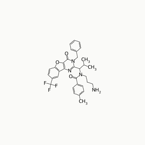 Cc1ccc(C(=O)N(CCCN)C(c2nc3c(oc4ccc(C(F)(F)F)cc43)c(=O)n2Cc2ccccc2)C(C)C)cc1